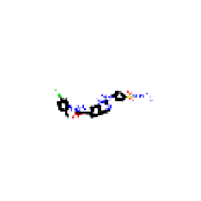 Cc1ccc(Cl)cc1NC(=O)c1ccc2cnc(Nc3ccc(S(N)(=O)=O)cc3)nc2c1